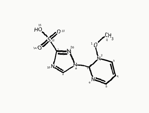 CON1C=CC=NC1n1cnc(S(=O)(=O)O)n1